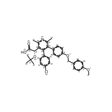 COc1ccc(COc2ccc(-c3c(C)nc(C)c([C@H](OC(C)(C)C)C(=O)O)c3-c3ccc(Cl)cc3)cc2)cc1